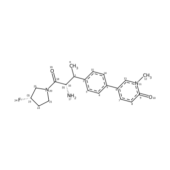 CC(c1ccc(-c2ccc(=O)n(C)c2)cc1)[C@H](N)C(=O)N1CC[C@H](F)C1